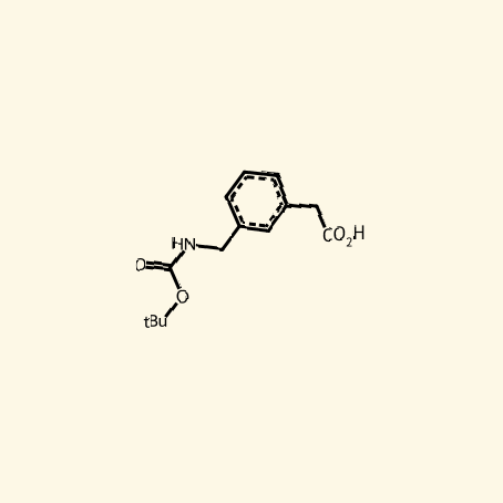 CC(C)(C)OC(=O)NCc1cccc(CC(=O)O)c1